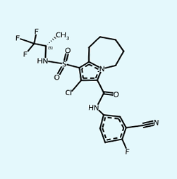 C[C@H](NS(=O)(=O)c1c(Cl)c(C(=O)Nc2ccc(F)c(C#N)c2)n2c1CCCCC2)C(F)(F)F